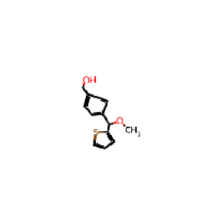 COC(c1ccc(CO)cc1)c1cccs1